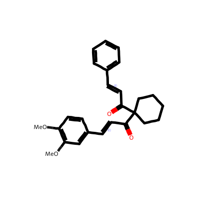 COc1ccc(/C=C/C(=O)C2(C(=O)/C=C/c3ccccc3)CCCCC2)cc1OC